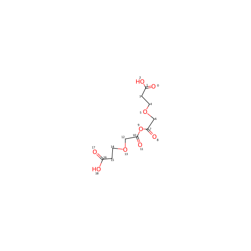 O=C(O)CCOCC(=O)OC(=O)COCCC(=O)O